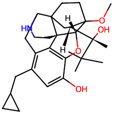 COC12CCC3(C[C@H]1[C@](C)(O)C(C)(C)C)C1Cc4c(CC5CC5)cc(O)c5c4[C@@]3(CCN1)[C@H]2O5